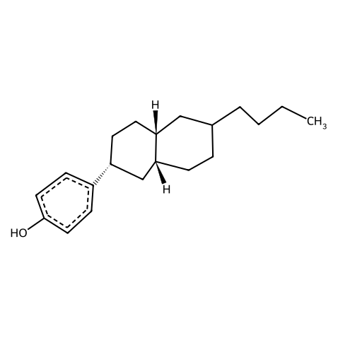 CCCCC1CC[C@@H]2C[C@H](c3ccc(O)cc3)CC[C@@H]2C1